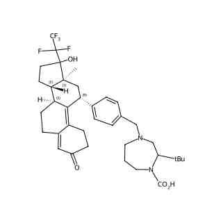 CC(C)(C)C1CN(Cc2ccc([C@H]3C[C@@]4(C)[C@@H](CCC4(O)C(F)(F)C(F)(F)F)[C@@H]4CCC5=CC(=O)CCC5=C43)cc2)CCCN1C(=O)O